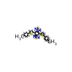 Cc1ccc(-c2ccc(-c3c4c(c(-c5ccc(-c6ccc(C)cc6)s5)c5nsnc35)N=S=N4)s2)cc1